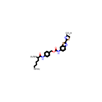 CC(=O)NCCCCC(NC(C)=O)C(=O)Nc1ccc(COC(=O)Nc2ccc3nc(C4=N[C@@H](C(=O)O)CS4)sc3c2)cc1